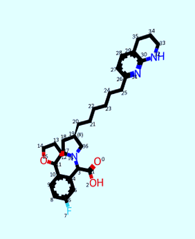 O=C(O)C(c1cc(F)ccc1C1CCCO1)N1CC[C@@H](CCCCCCc2ccc3c(n2)NCCC3)C1